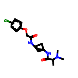 CC(C(=O)NC12CC(NC(=O)COc3ccc(Cl)cc3)(C1)C2)N(C)C